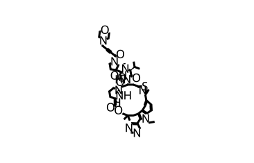 CCn1c(-c2cncnc2)c2c3cc(ccc31)-c1csc(n1)C[C@H](NC(=O)[C@H](C(C)C)N(C)C(=O)C1(O)CCN(C(=O)C#CCN3CCOCC3)C1)C(=O)N1CCC[C@H](N1)C(=O)OCC(C)(C)C2